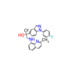 Cc1ccc2cccc(NCC(O)(c3ccc4c(cnn4-c4ccc(F)cc4)c3)C(F)(F)F)c2n1